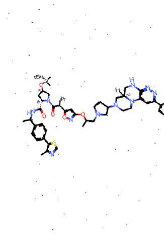 Cc1ncsc1-c1ccc(C(C)NC(=O)[C@@H]2C[C@@H](O[Si](C)(C)C(C)(C)C)CN2C(=O)C(c2cc(OC(C)CN3CCC(N4CCN5c6cc(-c7ccccc7O)nnc6NC[C@H]5C4)C3)no2)C(C)C)cc1